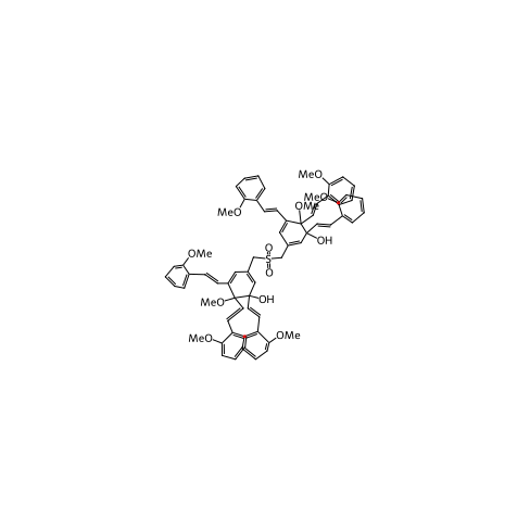 COc1ccccc1/C=C/C1=CC(CS(=O)(=O)CC2=CC(O)(/C=C/c3ccccc3OC)C(/C=C/c3ccccc3OC)(OC)C(/C=C/c3ccccc3OC)=C2)=CC(O)(/C=C/c2ccccc2OC)C1(/C=C/c1ccccc1OC)OC